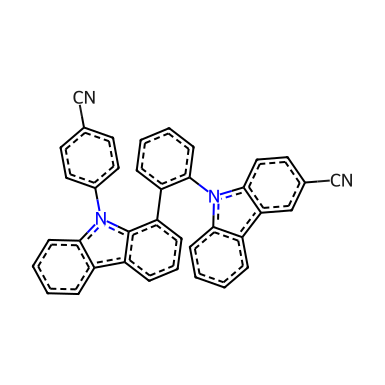 N#Cc1ccc(-n2c3ccccc3c3cccc(-c4ccccc4-n4c5ccccc5c5cc(C#N)ccc54)c32)cc1